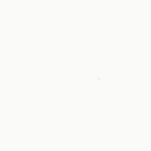 OC1C(S)OC(CI)C(I)C1O